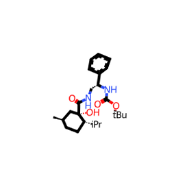 CC(C)[C@@H]1CC[C@@H](C)C[C@@]1(O)C(=O)NC[C@@H](NC(=O)OC(C)(C)C)c1ccccc1